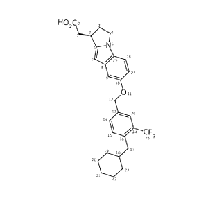 O=C(O)C[C@H]1CCn2c1cc1cc(OCc3ccc(CC4CCCCC4)c(C(F)(F)F)c3)ccc12